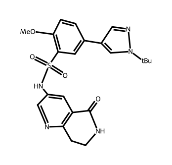 COc1ccc(-c2cnn(C(C)(C)C)c2)cc1S(=O)(=O)Nc1cnc2c(c1)C(=O)NCC2